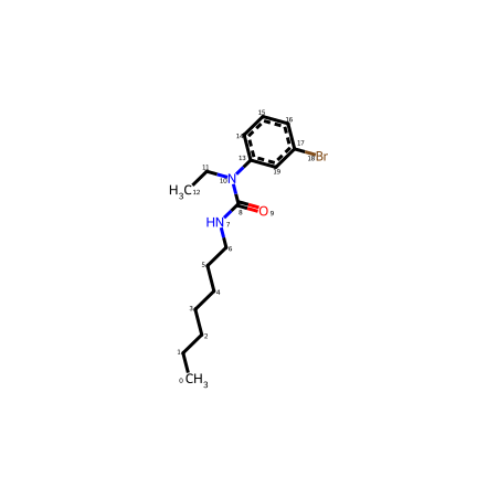 CCCCCCCNC(=O)N(CC)c1cccc(Br)c1